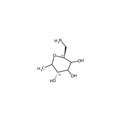 CC1O[C@@H](CN)C(O)C(O)[C@@H]1O